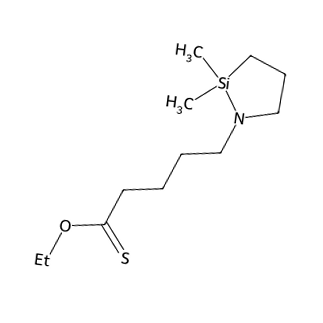 CCOC(=S)CCCCN1CCC[Si]1(C)C